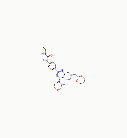 CCNC(=O)Nc1ccc(-c2nc3c(c(N4CCOCC4C)n2)CCN(CC2OCCCO2)C3)cc1